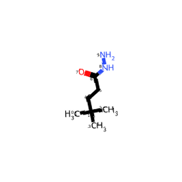 CC(C)(C)[CH]CC(=O)NN